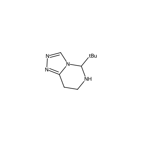 CC(C)(C)C1NCCc2nncn21